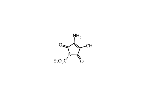 CCOC(=O)N1C(=O)C(C)=C(N)C1=O